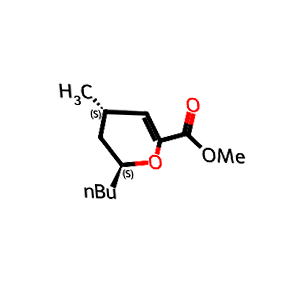 CCCC[C@H]1C[C@H](C)C=C(C(=O)OC)O1